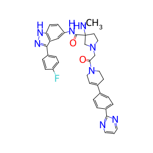 CNC1(C(=O)Nc2ccc3[nH]nc(-c4ccc(F)cc4)c3c2)CCN(CC(=O)N2CC=C(c3ccc(-c4ncccn4)cc3)CC2)C1